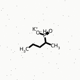 CCCC(C)[PH](=O)[O-].[K+]